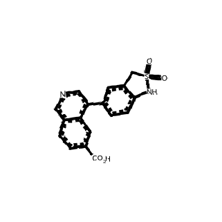 O=C(O)c1ccc2cncc(-c3ccc4c(c3)CS(=O)(=O)N4)c2c1